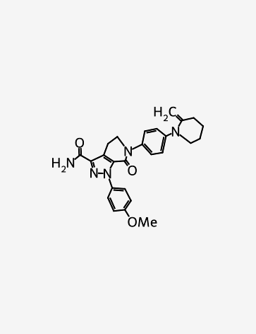 C=C1CCCCN1c1ccc(N2CCc3c(C(N)=O)nn(-c4ccc(OC)cc4)c3C2=O)cc1